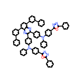 c1ccc(-c2cccc(-c3ccc(-c4cccc(-c5ccccc5)c4)c4nc(-c5ccc(N(c6ccccc6)c6ccc(-c7nnc(-c8ccccc8)o7)cc6)cc5)c(-c5ccc(N(c6ccccc6)c6ccc(-c7nnc(-c8ccccc8)o7)cc6)cc5)nc34)c2)cc1